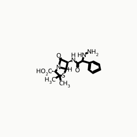 CC1(C)S[C@@H]2[C@H](NC(=O)C(NN)c3ccccc3)C(=O)N2[C@H]1C(=O)O